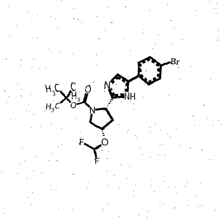 CC(C)(C)OC(=O)N1C[C@@H](OC(F)F)C[C@H]1c1ncc(-c2ccc(Br)cc2)[nH]1